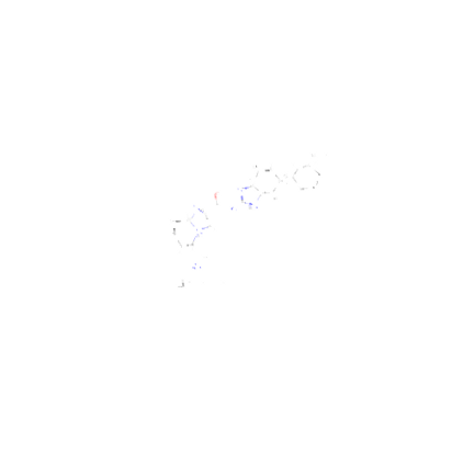 CC(C)CN(C)Cc1cccc2nc(C(=O)Nc3nc4cc(-c5cccc(C(F)(F)F)c5)ccc4[nH]3)cn12